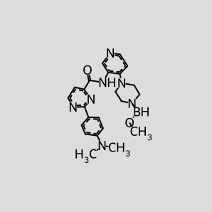 COBN1CCN(c2ccncc2NC(=O)c2ccnc(-c3ccc(N(C)C)cc3)n2)CC1